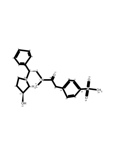 CN(C[C@@H](c1ccccc1)N1CC[C@H](O)C1)C(=O)Cc1ccc(S(C)(=O)=O)cc1